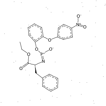 CCOC(=O)[C@H](Cc1ccccc1)N=[P+]([O-])Oc1ccccc1Oc1ccc([N+](=O)[O-])cc1